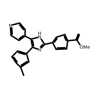 C=C(OC)c1ccc(-c2nc(-c3cccc(C)c3)c(-c3ccncc3)[nH]2)cc1